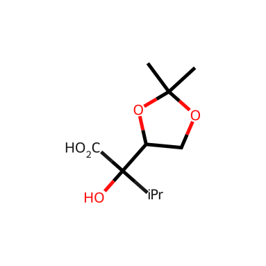 CC(C)C(O)(C(=O)O)C1COC(C)(C)O1